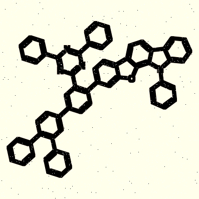 c1ccc(-c2nc(-c3ccccc3)nc(-c3cc(-c4ccc(-c5ccccc5)c(-c5ccccc5)c4)ccc3-c3ccc4c(c3)oc3c4ccc4c5ccccc5n(-c5ccccc5)c43)n2)cc1